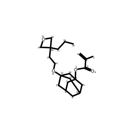 C=C(C)C(=O)OC12CC3CC(CC(OCCC4(CCC)COC4)(C3)C1)C2